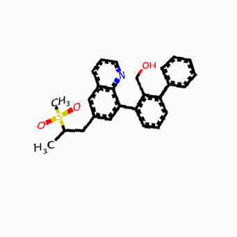 CC(Cc1cc(-c2cccc(-c3ccccc3)c2CO)c2ncccc2c1)S(C)(=O)=O